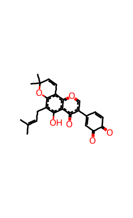 CC(C)=CCc1c2c(c3occ(C4=CC(=O)C(=O)C=C4)c(=O)c3c1O)C=CC(C)(C)O2